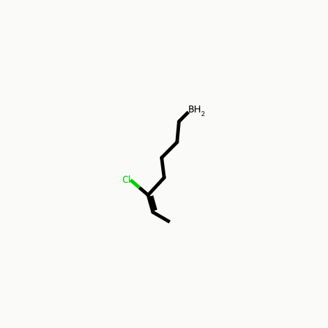 BCCCC/C(Cl)=C\C